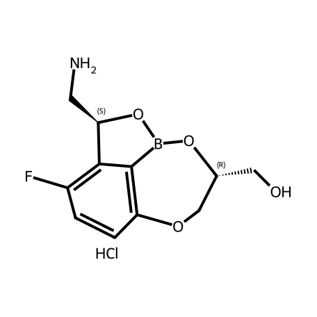 Cl.NC[C@H]1OB2O[C@H](CO)COc3ccc(F)c1c32